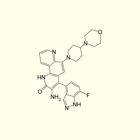 Nc1c(-c2ccc(F)c3[nH]ncc23)c2cc(N3CCC(N4CCOCC4)CC3)c3ncccc3c2[nH]c1=O